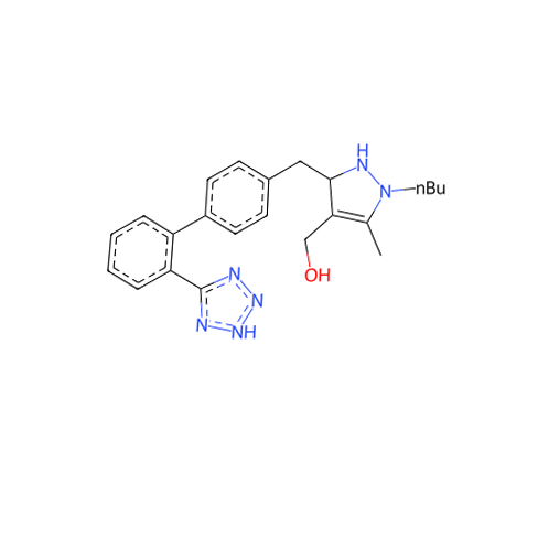 CCCCN1NC(Cc2ccc(-c3ccccc3-c3nn[nH]n3)cc2)C(CO)=C1C